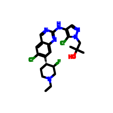 CCN1CC[C@H](c2cc3nc(Nc4cnn(CC(C)(C)O)c4Cl)ncc3cc2Cl)[C@@H](F)C1